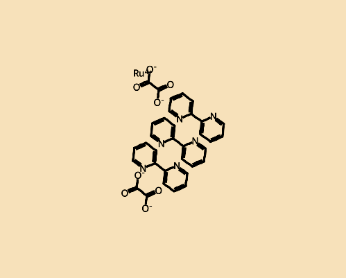 O=C([O-])C(=O)[O-].O=C([O-])C(=O)[O-].[Ru+4].c1ccc(-c2ccccn2)nc1.c1ccc(-c2ccccn2)nc1.c1ccc(-c2ccccn2)nc1